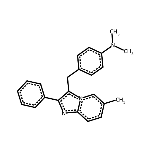 Cc1ccc2nc(-c3ccccc3)c(Cc3ccc(N(C)C)cc3)n2c1